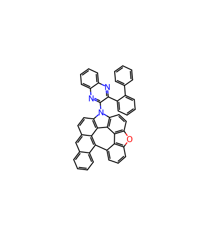 c1ccc(-c2ccccc2-c2nc3ccccc3nc2-n2c3ccc4cc5ccccc5c5c4c3c3c4c(ccc32)oc2cccc-5c24)cc1